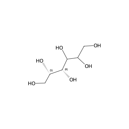 OCC(O)C(O)[C@H](O)[C@@H](O)CO